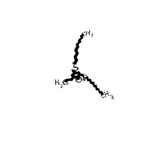 C=CCc1cc(CSCCCCCCCCCCCC)cc(CSCCCCCCCCCCCC)c1O